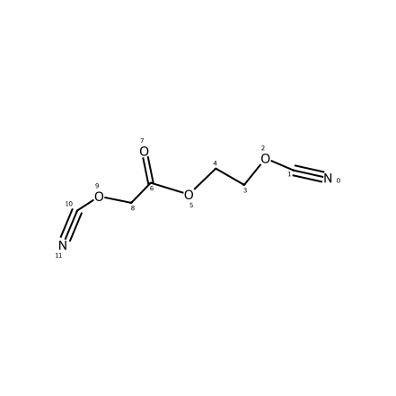 N#COCCOC(=O)COC#N